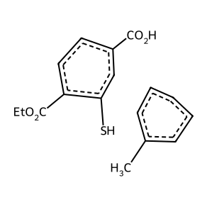 CCOC(=O)c1ccc(C(=O)O)cc1S.Cc1ccccc1